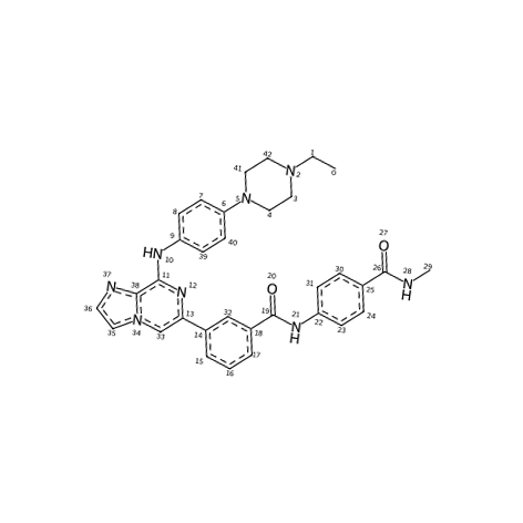 CCN1CCN(c2ccc(Nc3nc(-c4cccc(C(=O)Nc5ccc(C(=O)NC)cc5)c4)cn4ccnc34)cc2)CC1